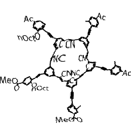 [C-]#[N+]/C1=C\c2cc(C#Cc3ccc(C(=O)OC)cc3OCCCCCCCC)cc(c2)/C(C#N)=C/c2cc(C#Cc3ccc(C(=O)OC)cc3C)cc(c2)/C(C#N)=C/c2cc(C#Cc3ccc(C(C)=O)cc3C)cc(c2)/C([N+]#[C-])=C/c2cc(C#Cc3ccc(C(C)=O)cc3C)cc(c2)/C([N+]#[C-])=C/c2cc(C#Cc3ccc(C(C)=O)cc3OCCCCCCCC)cc1c2